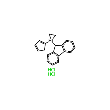 C1=CC[C]([Hf]2([CH]3c4ccccc4-c4ccccc43)[CH2][CH2]2)=C1.Cl.Cl